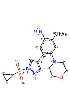 COc1cc(N2CCOCC2)c(-c2cnn(S(=O)(=O)C3CC3)c2)cc1N